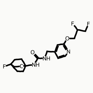 O=C(NCc1ccnc(OCC(F)CF)c1)NC12CCC(F)(CC1)CC2